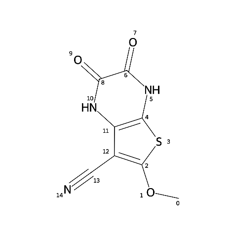 COc1sc2[nH]c(=O)c(=O)[nH]c2c1C#N